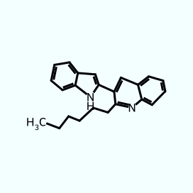 CCCCCCc1nc2ccccc2cc1-c1cc2ccccc2[nH]1